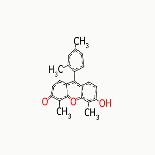 Cc1ccc(-c2c3ccc(=O)c(C)c-3oc3c(C)c(O)ccc23)c(C)c1